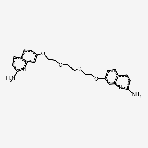 Nc1ccc2ccc(OCCOCCOCCOc3ccc4ccc(N)nc4c3)cc2n1